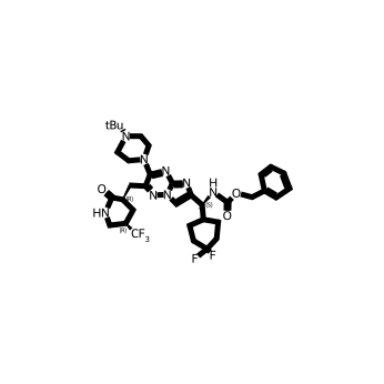 CC(C)(C)N1CCN(c2nc3nc([C@@H](NC(=O)OCc4ccccc4)C4CCC(F)(F)CC4)cn3nc2C[C@H]2C[C@@H](C(F)(F)F)CNC2=O)CC1